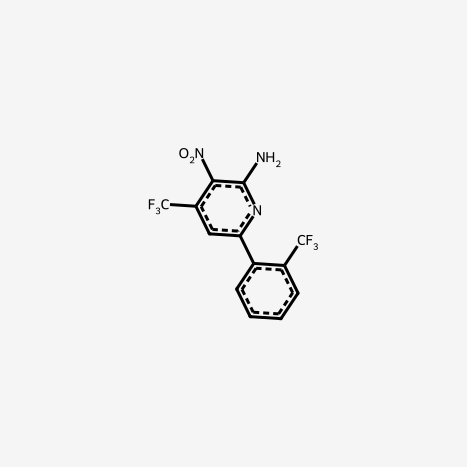 Nc1nc(-c2ccccc2C(F)(F)F)cc(C(F)(F)F)c1[N+](=O)[O-]